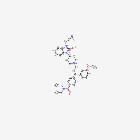 CCN(CC)C(=O)c1ccc(C(CCN2CCC(n3c(=O)n(CC4CC4)c4ccccc43)CC2)c2cccc(OC)c2)cc1